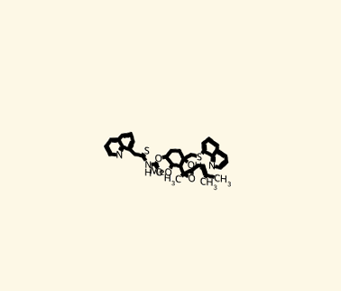 COC1C(OC(=O)NC(=S)Cc2cccc3cccnc23)CCC(O)(CSc2cccc3cccnc23)C1C1(C)OC1CC=C(C)C